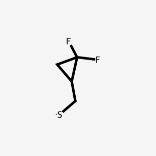 FC1(F)CC1C[S]